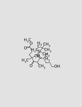 COC(=O)CCC(C)(C)C(=O)[C@H](C)[C@@H](O[Si](C)(C)C(C)(C)C)[C@@H](C)CCCO